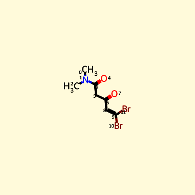 CN(C)C(=O)CC(=O)C=C(Br)Br